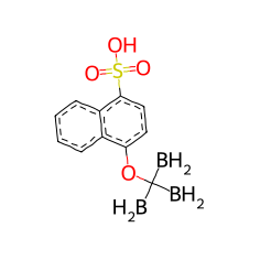 BC(B)(B)Oc1ccc(S(=O)(=O)O)c2ccccc12